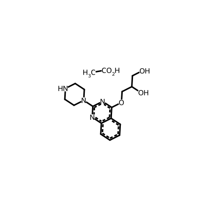 CC(=O)O.OCC(O)COc1nc(N2CCNCC2)nc2ccccc12